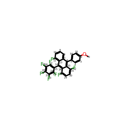 COc1ccc(-c2c3cccc(F)c3c(-c3c(F)c(F)c(F)c(F)c3F)c3c(F)ccc(F)c23)cc1